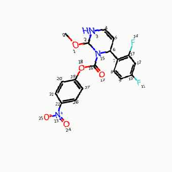 COC1NC=CC(c2ccc(F)cc2F)N1C(=O)Oc1ccc([N+](=O)[O-])cc1